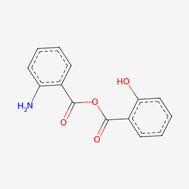 Nc1ccccc1C(=O)OC(=O)c1ccccc1O